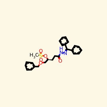 CS(=O)(=O)O[C@@H](CCC(=O)NN=C(c1ccccc1)c1ccccc1)COCc1ccccc1